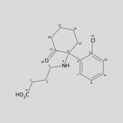 O=C(O)CCCNC1(c2ccccc2Cl)CCCCC1=O